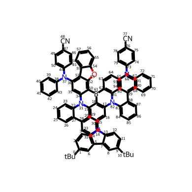 CC(C)(C)c1ccc2c(c1)c1cc(C(C)(C)C)ccc1n2-c1cc2c3c(c1)N(c1ccccc1-c1ccccc1)c1cc(N(c4ccccc4)c4ccc(C#N)cc4)c4c(oc5ccccc54)c1B3c1ccc(N(c3ccccc3)c3ccc(C#N)cc3)cc1N2c1ccccc1-c1ccccc1